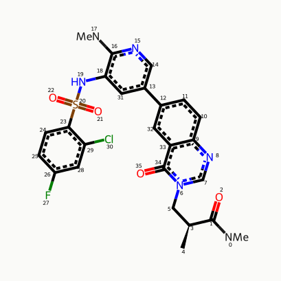 CNC(=O)[C@@H](C)Cn1cnc2ccc(-c3cnc(NC)c(NS(=O)(=O)c4ccc(F)cc4Cl)c3)cc2c1=O